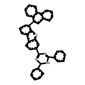 c1ccc(C2=NC(c3ccc4c(c3)oc3c(-c5cc6ccccc6c6ccccc56)cccc34)=NC(c3ccccc3)N2)cc1